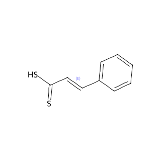 S=C(S)/C=C/c1ccccc1